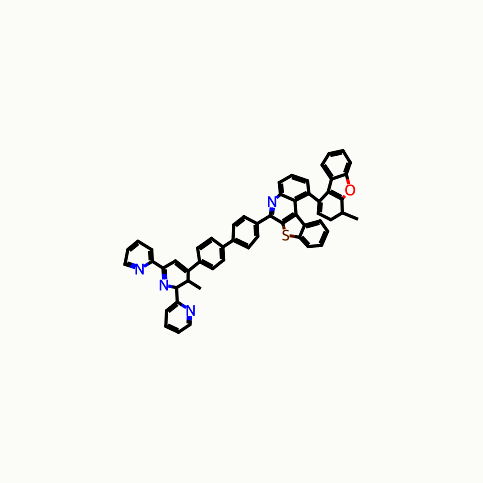 CC1CC=C(c2cccc3nc(-c4ccc(-c5ccc(C6=CC(c7ccccn7)=NC(c7ccccn7)C6C)cc5)cc4)c4sc5ccccc5c4c23)c2c1oc1ccccc21